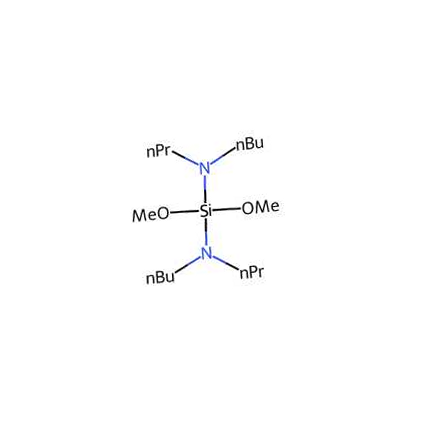 CCCCN(CCC)[Si](OC)(OC)N(CCC)CCCC